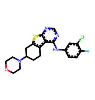 Fc1ccc(Nc2ncnc3sc4c(c23)CCC(N2CCOCC2)C4)cc1Cl